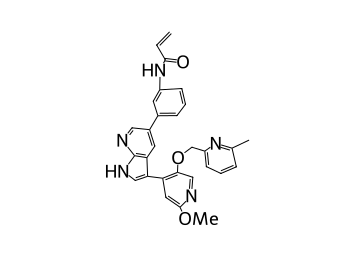 C=CC(=O)Nc1cccc(-c2cnc3[nH]cc(-c4cc(OC)ncc4OCc4cccc(C)n4)c3c2)c1